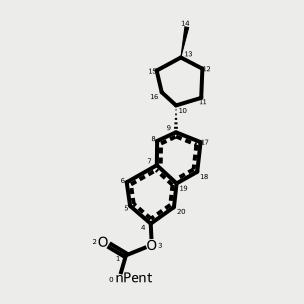 CCCCCC(=O)Oc1ccc2cc([C@H]3CC[C@H](C)CC3)ccc2c1